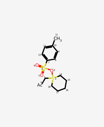 CC(=O)CS1(OS(=O)(=O)c2ccc(C)cc2)CCCCC1